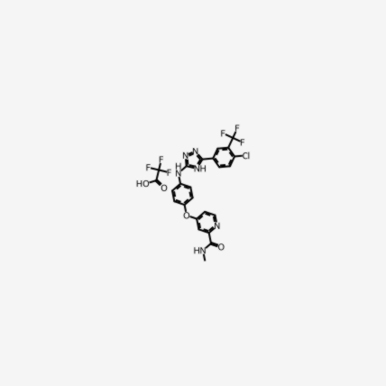 CNC(=O)c1cc(Oc2ccc(Nc3nnc(-c4ccc(Cl)c(C(F)(F)F)c4)[nH]3)cc2)ccn1.O=C(O)C(F)(F)F